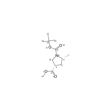 COC(=O)[C@H]1C[C@@H](C)N(C(=O)OC(C)(C)C)C1